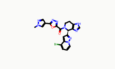 Cn1cc(-c2nnc(C(=O)N3CCc4[nH]cnc4[C@H]3c3cc4c(Br)cccn4n3)o2)cn1